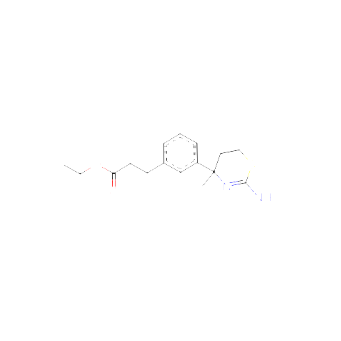 CCOC(=O)CCc1cccc(C2(C)CCSC(N)=N2)c1